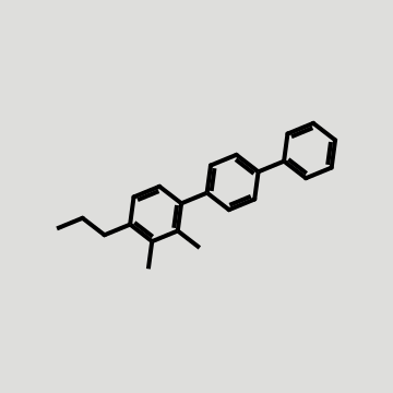 CCCc1ccc(-c2ccc(-c3ccccc3)cc2)c(C)c1C